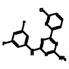 Nc1nc(Nc2cc(F)cc(F)c2)nc(-c2cccc(Cl)n2)n1